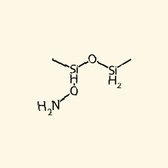 C[SiH2]O[SiH](C)ON